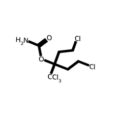 NC(=O)OC(CCCl)(CCCl)C(Cl)(Cl)Cl